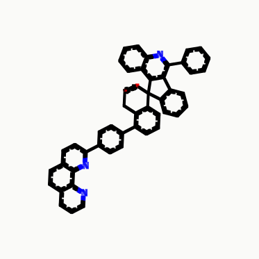 c1ccc(-c2nc3ccccc3c3c2-c2ccccc2C32c3ccccc3Cc3c(-c4ccc(-c5ccc6ccc7cccnc7c6n5)cc4)cccc32)cc1